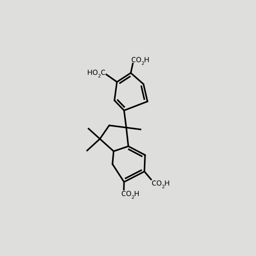 CC1(c2ccc(C(=O)O)c(C(=O)O)c2)CC(C)(C)C2CC(C(=O)O)=C(C(=O)O)C=C21